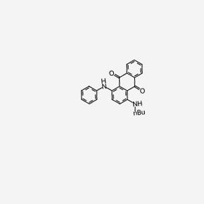 CCCCNc1ccc(Nc2ccccc2)c2c1C(=O)c1ccccc1C2=O